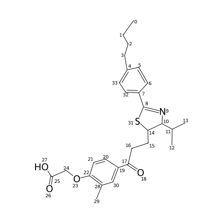 CCCCc1ccc(C2=NC(C(C)C)C(CCC(=O)c3ccc(OCC(=O)O)c(C)c3)S2)cc1